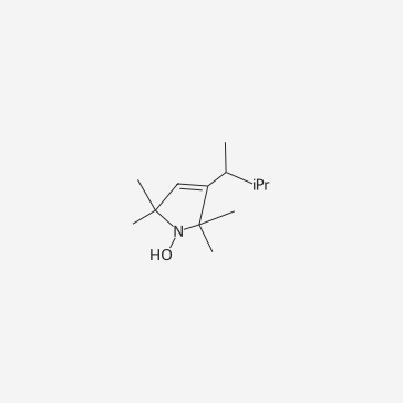 CC(C)C(C)C1=CC(C)(C)N(O)C1(C)C